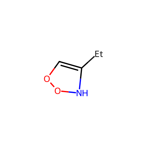 CCC1=COON1